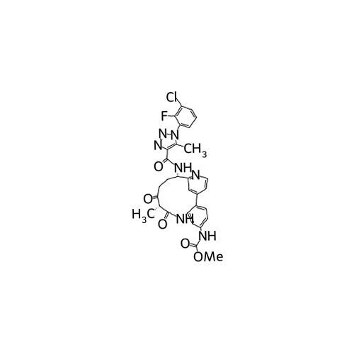 COC(=O)Nc1ccc2c(c1)NC(=O)[C@H](C)C(=O)CC[C@H](NC(=O)c1nnn(-c3cccc(Cl)c3F)c1C)c1cc-2ccn1